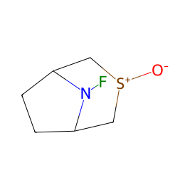 [O-][S+]1CC2CCC(C1)N2F